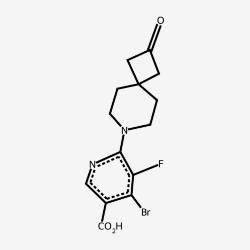 O=C1CC2(CCN(c3ncc(C(=O)O)c(Br)c3F)CC2)C1